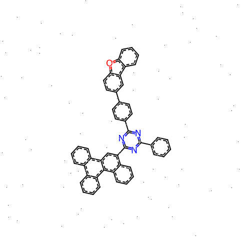 c1ccc(-c2nc(-c3ccc(-c4ccc5oc6ccccc6c5c4)cc3)nc(-c3cc4c5ccccc5c5ccccc5c4c4ccccc34)n2)cc1